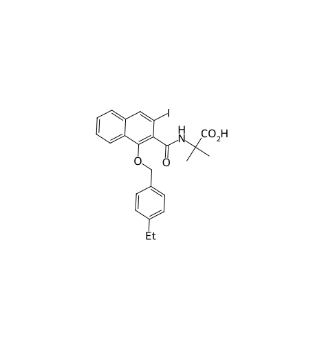 CCc1ccc(COc2c(C(=O)NC(C)(C)C(=O)O)c(I)cc3ccccc23)cc1